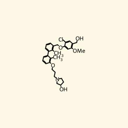 COc1cc(OCc2cccc(-c3cccc(OCCCN4CC[C@@H](O)C4)c3C)c2C)c(Cl)cc1CO